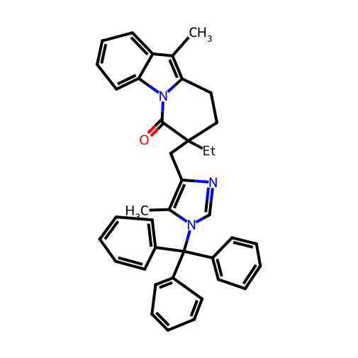 CCC1(Cc2ncn(C(c3ccccc3)(c3ccccc3)c3ccccc3)c2C)CCc2c(C)c3ccccc3n2C1=O